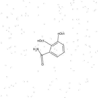 CCCCCCCCc1cccc(C(N)=O)c1CCCCCCCC